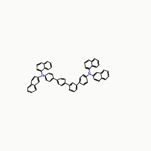 c1cc(-c2ccc(-c3ccc(N(c4ccc5ccccc5c4)c4cccc5ccccc45)cc3)cc2)cc(-c2ccc(N(c3ccc4ccccc4c3)c3cccc4ccccc34)cc2)c1